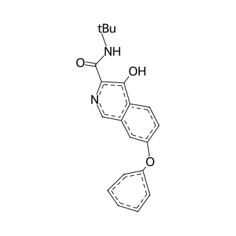 CC(C)(C)NC(=O)c1ncc2cc(Oc3ccccc3)ccc2c1O